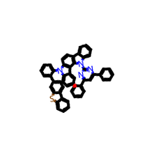 c1ccc(-c2cc(-c3ccccc3)nc(-n3c4ccccc4c4ccc5c(c6ccccc6n5-c5ccccc5-c5ccc6c(c5)sc5ccccc56)c43)n2)cc1